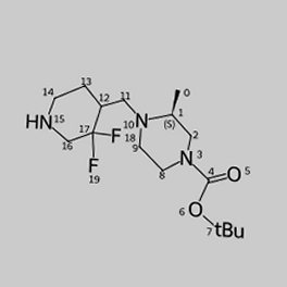 C[C@H]1CN(C(=O)OC(C)(C)C)CCN1CC1CCNCC1(F)F